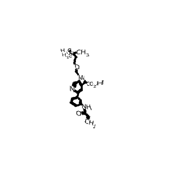 C=CC(=O)Nc1cccc(-c2cc3c(C(=O)O)nn(COCC[Si](C)(C)C)c3cn2)c1